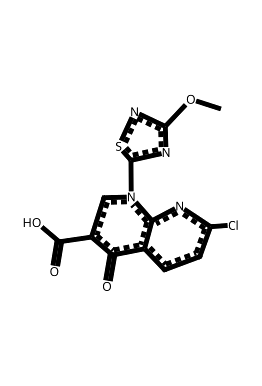 COc1nsc(-n2cc(C(=O)O)c(=O)c3ccc(Cl)nc32)n1